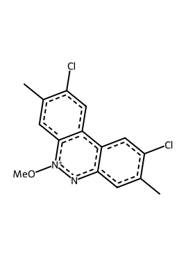 CO[n+]1nc2cc(C)c(Cl)cc2c2cc(Cl)c(C)cc21